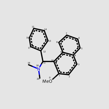 COc1ccc2ccccc2c1C(c1ccccc1)N(C)C